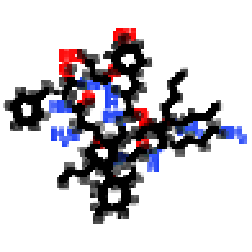 CCCC[C](CCCC)C(=O)[C@H](CCCCN)NC(=O)[C@H](Cc1ccccc1)N(C(=O)[C@@H](CCCCN)NC(=O)[C@H](Cc1ccc(O)cc1)NC(=O)[C@H](CO)NC(=O)[C@@H](Cc1ccccc1)NC(=O)[C@H](N)Cc1ccccc1)C(CCCC)CCCC